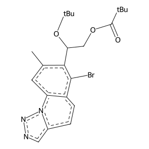 Cc1cc2c(ccc3cnnn32)c(Br)c1C(COC(=O)C(C)(C)C)OC(C)(C)C